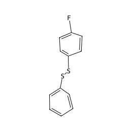 Fc1ccc(SSc2ccccc2)cc1